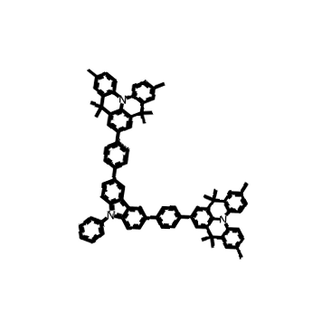 Cc1ccc2c(c1)C(C)(C)c1cc(-c3ccc(-c4ccc5c(c4)c4cc(-c6ccc(-c7cc8c9c(c7)C(C)(C)c7cc(C)ccc7N9c7ccc(C)cc7C8(C)C)cc6)ccc4n5-c4ccccc4)cc3)cc3c1N2c1ccc(C)cc1C3(C)C